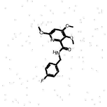 COc1cc(OC)c(OC)c(C(=O)NCc2ccc(F)cc2)n1